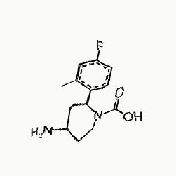 Cc1cc(F)ccc1C1CC(N)CCN1C(=O)O